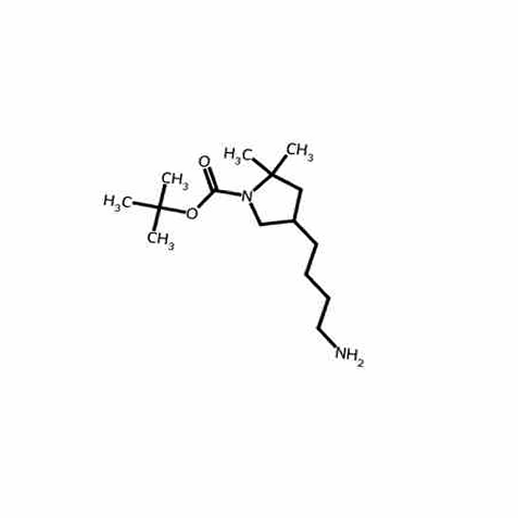 CC(C)(C)OC(=O)N1CC(CCCCN)CC1(C)C